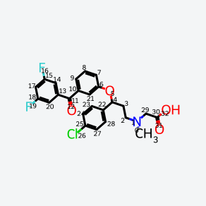 CN(CCC(Oc1cccc(C(=O)c2cc(F)cc(F)c2)c1)c1ccc(Cl)cc1)CC(=O)O